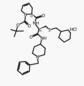 CC(C)(C)OC(=O)N1CC=CC[C@H]1C(=O)N[C@@H](CSCC1CCCCC1)C(=O)NC1CCN(Cc2ccccc2)CC1.Cl